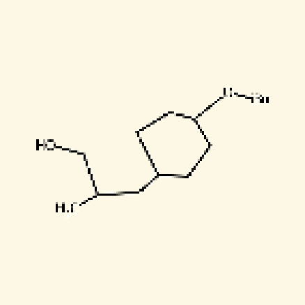 CCC(C)OC1CCC(CC(C)CO)CC1